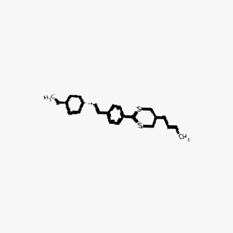 CCCCC1CSC(c2ccc(CC[C@H]3CC[C@H](CC)CC3)cc2)SC1